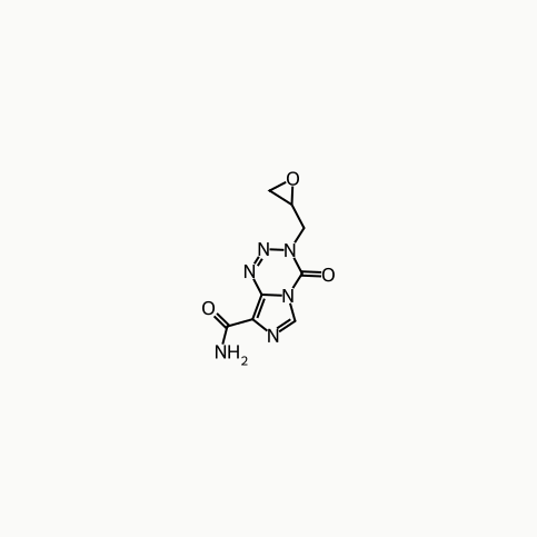 NC(=O)c1ncn2c(=O)n(CC3CO3)nnc12